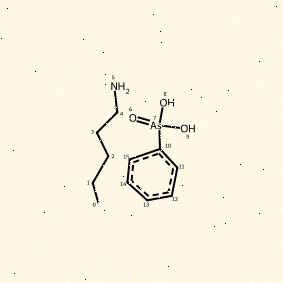 CCCCCN.O=[As](O)(O)c1ccccc1